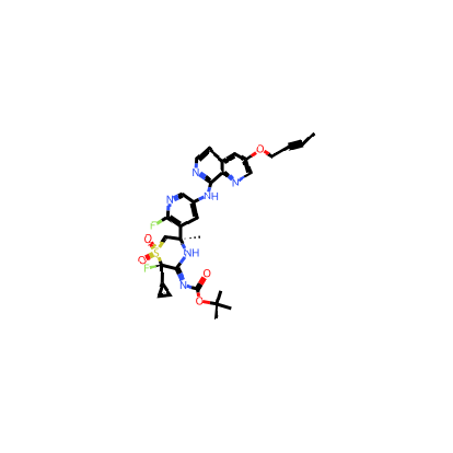 CC#CCOc1cnc2c(Nc3cnc(F)c([C@]4(C)CS(=O)(=O)[C@@](F)(C5CC5)/C(=N/C(=O)OC(C)(C)C)N4)c3)nccc2c1